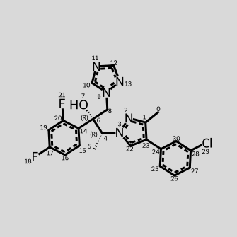 Cc1nn([C@H](C)[C@](O)(Cn2cncn2)c2ccc(F)cc2F)cc1-c1cccc(Cl)c1